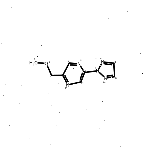 COCc1cnc(-n2nccn2)cn1